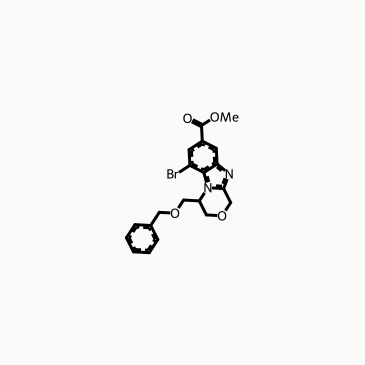 COC(=O)c1cc(Br)c2c(c1)nc1n2C(COCc2ccccc2)COC1